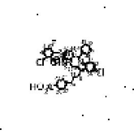 Cc1c(Cl)ccc(F)c1CS(=O)(=O)NCCc1c(CCCc2ccc(C(=O)O)cc2)c2cc(Cl)ccc2n1C(c1ccccc1)c1ccccc1